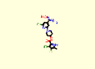 Cc1[nH]c(C(=O)OC2CCN(c3cc(/C(N)=N\O)cc(Cl)n3)CC2)c(Cl)c1Cl